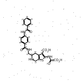 O=C(O)C(=O)Nc1sc2c(c1C(=O)O)CC(CNC(=O)c1ccc(NC(=O)c3ccccc3)cc1)NC2